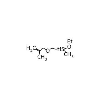 C=C(C)COCCC[SiH](C)OCC